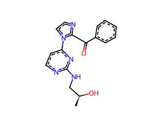 C[C@H](O)CNc1nccc(-n2ccnc2C(=O)c2ccccc2)n1